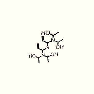 C=CC(SC(C=C)N(C(C)O)C(C)O)N(C(C)O)C(C)O